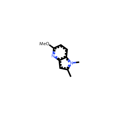 COc1ccc2c(cc(C)n2C)n1